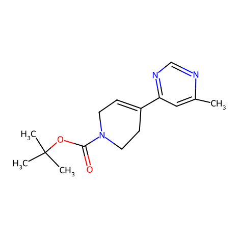 Cc1cc(C2=CCN(C(=O)OC(C)(C)C)CC2)ncn1